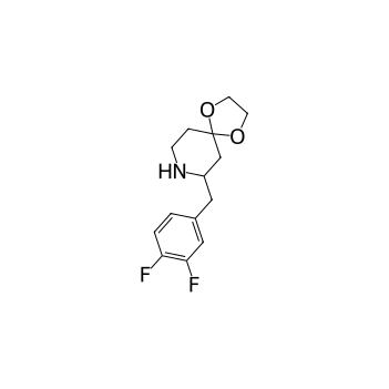 Fc1ccc(CC2CC3(CCN2)OCCO3)cc1F